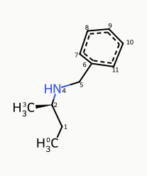 CC[C@@H](C)NCc1ccccc1